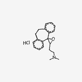 CN(C)CCC1OC12c1ccccc1CCc1ccccc12.Cl